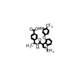 COC(=O)c1ccc([C@H](C)NC(=O)c2cn(C)c3cccc(Oc4ccc(C(F)(F)F)cc4)c23)cc1